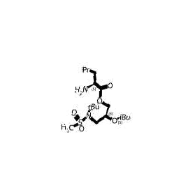 CC[C@H](C)O[C@H](COC(=O)[C@@H](N)CC(C)C)CN(C(C)(C)C)S(C)(=O)=O